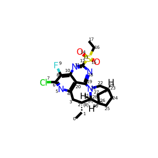 CC[C@@H]1Cc2nc(Cl)c(F)c3nc(S(=O)(=O)CC)nc(c23)N2C[C@H]3CC[C@H](C3)[C@H]12